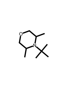 CC1COCC(C)N1C(C)(C)C